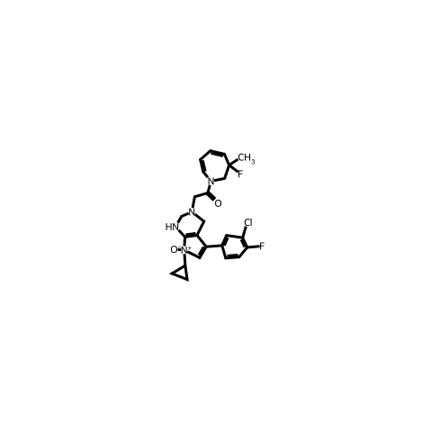 CC1(F)C=CC=CN(C(=O)CN2CNC3=C(C2)C(c2ccc(F)c(Cl)c2)=C[N+]3([O-])C2CC2)C1